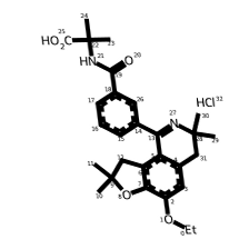 CCOc1cc2c(c3c1OC(C)(C)C3)C(c1cccc(C(=O)NC(C)(C)C(=O)O)c1)=NC(C)(C)C2.Cl